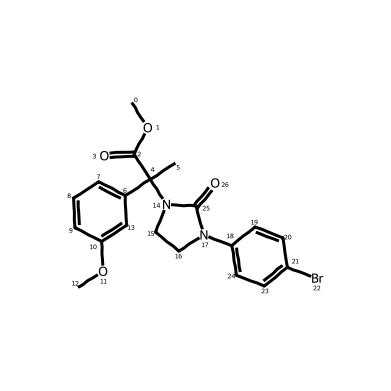 COC(=O)C(C)(c1cccc(OC)c1)N1CCN(c2ccc(Br)cc2)C1=O